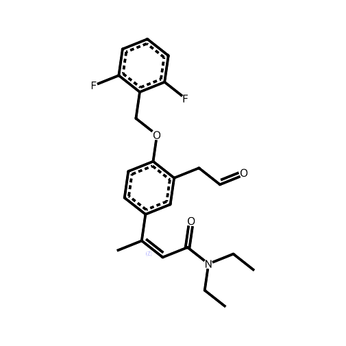 CCN(CC)C(=O)/C=C(/C)c1ccc(OCc2c(F)cccc2F)c(CC=O)c1